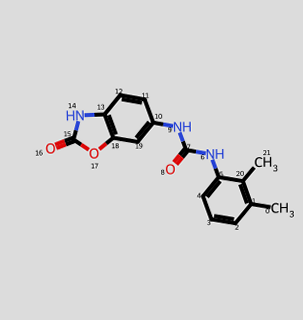 Cc1cccc(NC(=O)Nc2ccc3[nH]c(=O)oc3c2)c1C